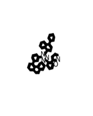 c1ccc(-c2ccc(-c3nc(-c4cccc(-c5cccc6ccc7ccccc7c56)c4)nc(-c4cccc5oc6ncccc6c45)n3)c3ccccc23)cc1